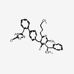 CCCCc1nc(C)n(C(C)c2ccccc2)c(=O)c1Cc1ccc(-c2ccccc2-c2noc(=O)[nH]2)cc1